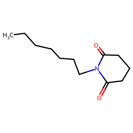 CCCCCCCN1C(=O)CCCC1=O